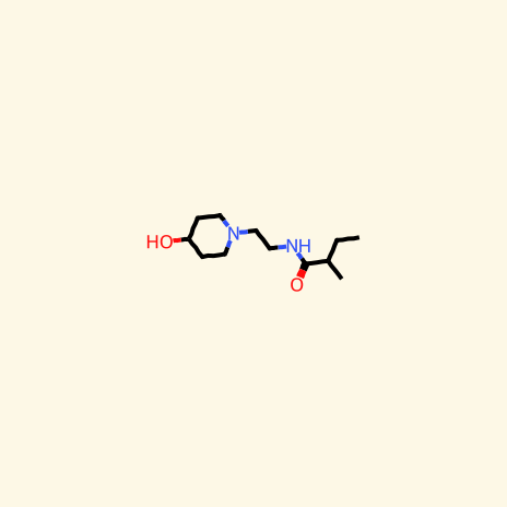 CCC(C)C(=O)NCCN1CCC(O)CC1